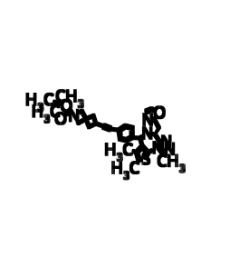 Cc1sc2c(c1C)C(c1ccc(C#CC3CC4(C3)CN(C(=O)OC(C)(C)C)C4)cc1)=N[C@@H](Cc1ncco1)c1nnc(C)n1-2